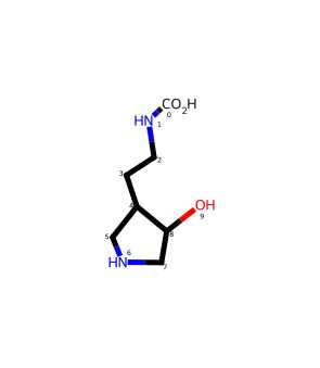 O=C(O)NCCC1CNCC1O